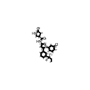 CCC(F)(F)c1cccc(-c2cc(NC(=O)[C@H]3CNC(=O)C3)nn2-c2cccc(Cl)c2)c1